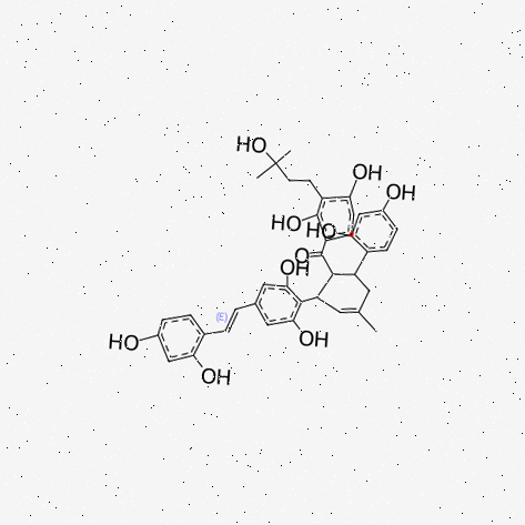 CC1=CC(c2c(O)cc(/C=C/c3ccc(O)cc3O)cc2O)C(C(=O)c2ccc(O)c(CCC(C)(C)O)c2O)C(c2ccc(O)cc2O)C1